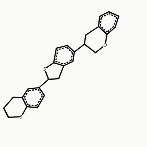 c1ccc2c(c1)CC(c1ccc3c(c1)CC(c1ccc4c(c1)CCCS4)S3)CO2